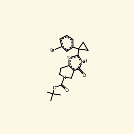 CC(C)(C)OC(=O)N1CCc2nc(C3(c4cccc(Br)c4)CC3)[nH]c(=O)c2C1